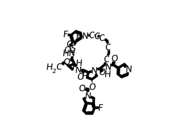 C=C[C@@H]1C[C@@]12NC(=O)[C@@H]1C[C@@H](OC(=O)N3Cc4cccc(F)c4C3)CN1C(=O)[C@@H](NC(=O)c1cccnc1)CCCCCCCNc1ccc(F)cc1S(=O)(=O)NC2=O